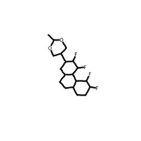 CC1OCC(C2CC3CCC4CCC(F)C(F)C4C3C(F)C2F)CO1